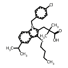 CCCCSc1c(CC(C)(C)C(=O)O)n(Cc2ccc(Cl)cc2)c2ccc(C(C)C)cc12